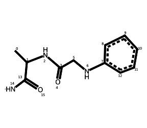 CC(NC(=O)CNc1ccccc1)C([NH])=O